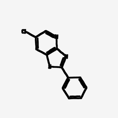 Clc1cnc2nc(-c3ccccc3)sc2c1